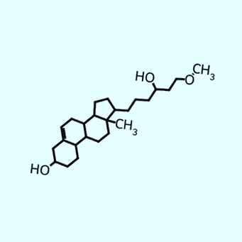 COCCC(O)CCCC1CCC2C3CC=C4CC(O)CCC4C3CCC12C